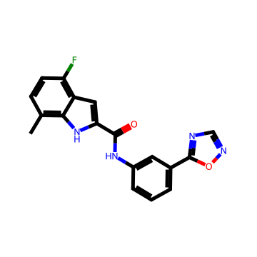 Cc1ccc(F)c2cc(C(=O)Nc3cccc(-c4ncno4)c3)[nH]c12